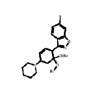 CCC(C)OC1(OC)C[C](N2CCCCC2)C=CC1c1noc2cc(F)ccc12